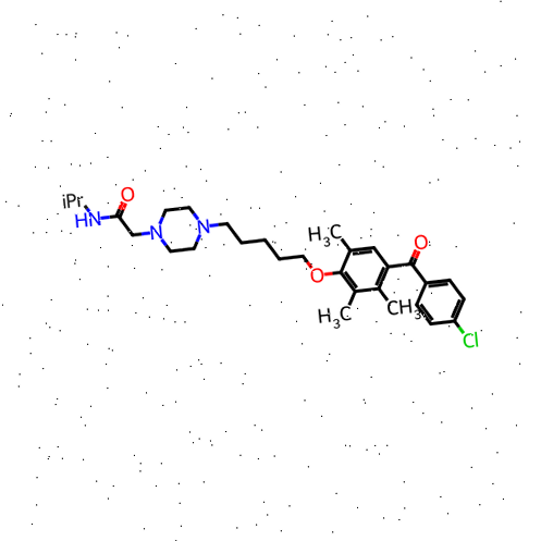 Cc1cc(C(=O)c2ccc(Cl)cc2)c(C)c(C)c1OCCCCCN1CCN(CC(=O)NC(C)C)CC1